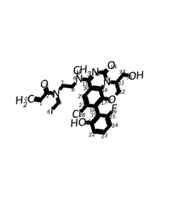 C=CC(=O)N(CI)CCN(C)c1nc(=O)n2c3c(c(-c4c(O)cccc4F)c(Cl)cc13)OCC2CO